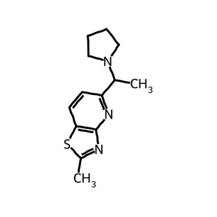 Cc1nc2nc(C(C)N3CCCC3)ccc2s1